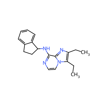 CCc1nc2c(NC3CCc4ccccc43)nccn2c1CC